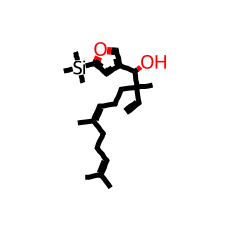 C=CC(C)(CCC=C(C)CCC=C(C)C)C(O)c1coc([Si](C)(C)C)c1